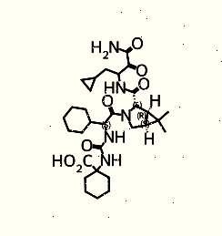 CC1(C)[C@@H]2[C@@H](C(=O)NC(CC3CC3)C(=O)C(N)=O)N(C(=O)[C@@H](NC(=O)NC3(C(=O)O)CCCCC3)C3CCCCC3)C[C@@H]21